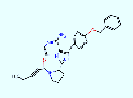 CCC#CC(=O)N1CCC[C@H]1c1nc(-c2ccc(OCc3ccccc3)cc2)c2c(N)nccn12